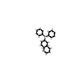 c1ccc(P(c2ccccc2)c2ccc3ncccc3c2)cc1